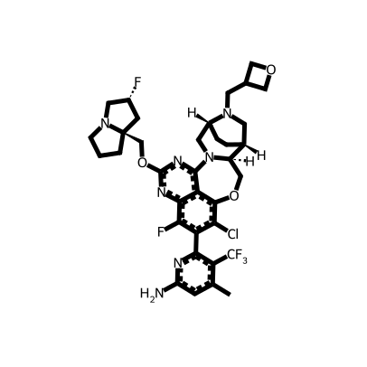 Cc1cc(N)nc(-c2c(Cl)c3c4c(nc(OC[C@@]56CCCN5C[C@H](F)C6)nc4c2F)N2C[C@H]4CC[C@H](CN4CC4COC4)[C@H]2CO3)c1C(F)(F)F